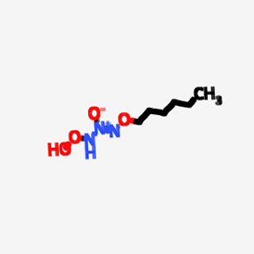 CCCCCCON=[N+]([O-])NOO